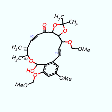 COCOc1cc(OC)cc2c1C(O)O[C@@H](C)[C@H](C)/C=C\C(=O)C1OC(C)(C)OC1C(OCOC)/C=C/2